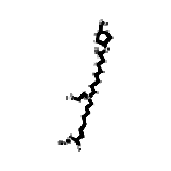 CCCCCCCCCOC(=O)CCCCCCCN(CCO)CCCCCCCC(=O)OC1CCC(CCCC)CC1